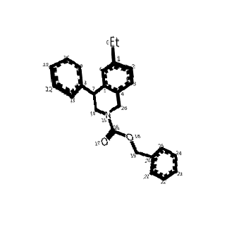 CCc1ccc2c(c1)C(c1ccccc1)CN(C(=O)OCc1ccccc1)C2